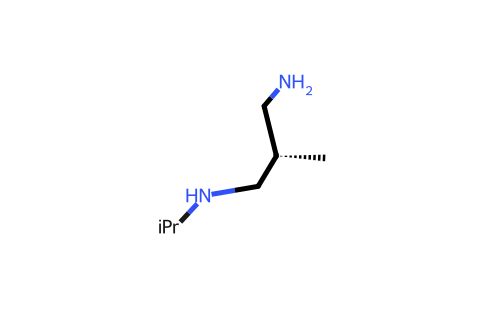 CC(C)NC[C@@H](C)CN